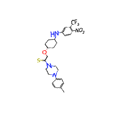 Cc1ccc(N2CCN(C(=S)CO[C@H]3CC[C@H](Nc4ccc([N+](=O)[O-])c(C(F)(F)F)c4)CC3)CC2)cc1